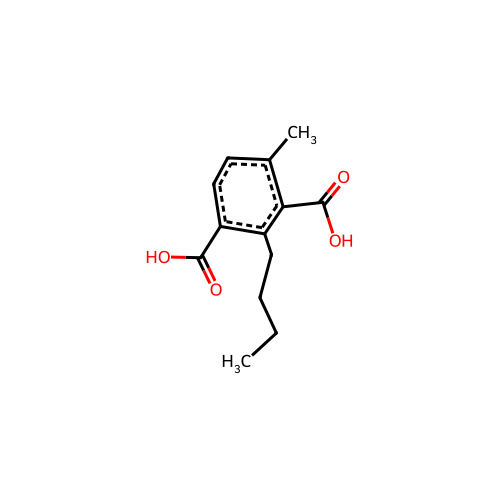 CCCCc1c(C(=O)O)ccc(C)c1C(=O)O